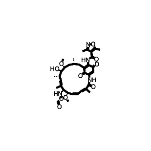 CO[C@H]1/C=C\C=C(/C)C(=O)NC2=CC(=O)C(NC(=O)c3c(C)noc3C)=C(C[C@@H](C)C[C@H](OC)[C@H](O)[C@@H](C)/C=C(\C)[C@@H]1NOC=O)C2=O